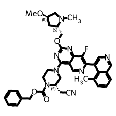 CO[C@@H]1C[C@@H](COc2nc(N3CCN(C(=O)OCc4ccccc4)[C@@H](CC#N)C3)c3cnc(-c4cncc5cccc(C)c45)c(F)c3n2)N(C)C1